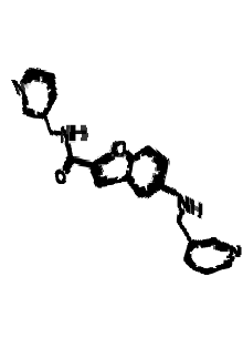 O=C(NCc1cccnc1)c1cc2cc(NCc3cccnc3)ccc2o1